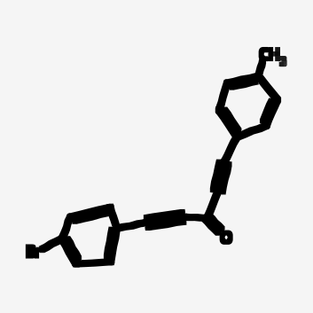 Cc1ccc(C#CC(=O)C#Cc2ccc(Br)cc2)cc1